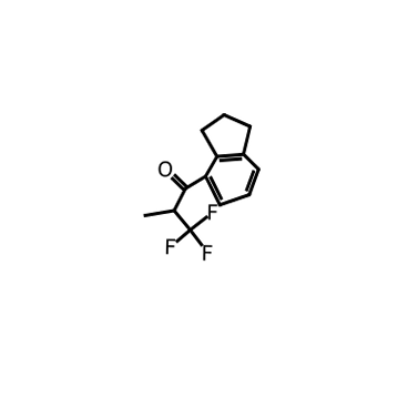 CC(C(=O)c1cccc2c1CCC2)C(F)(F)F